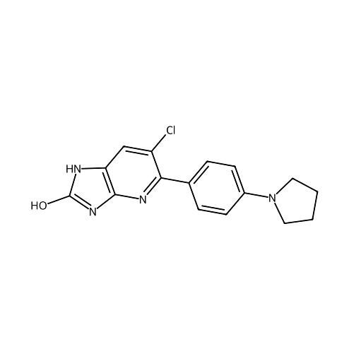 Oc1nc2nc(-c3ccc(N4CCCC4)cc3)c(Cl)cc2[nH]1